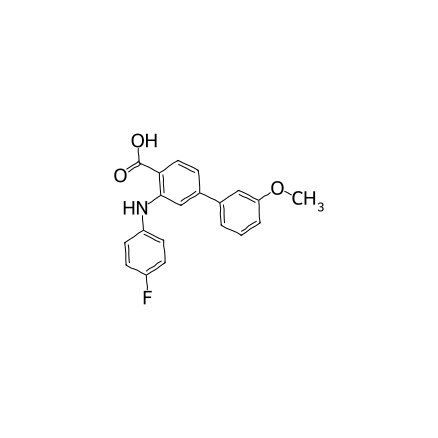 COc1cccc(-c2ccc(C(=O)O)c(Nc3ccc(F)cc3)c2)c1